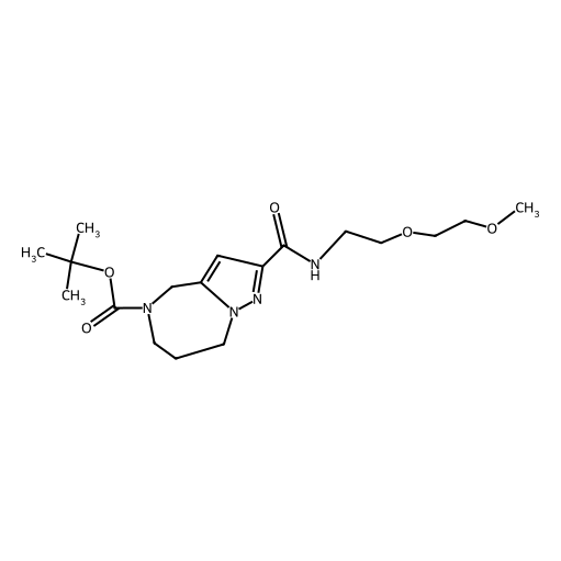 COCCOCCNC(=O)c1cc2n(n1)CCCN(C(=O)OC(C)(C)C)C2